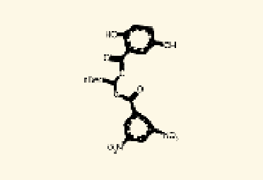 CCCCCCCCCCC(OC(=O)c1cc([N+](=O)[O-])cc([N+](=O)[O-])c1)OC(=O)c1cc(O)ccc1O